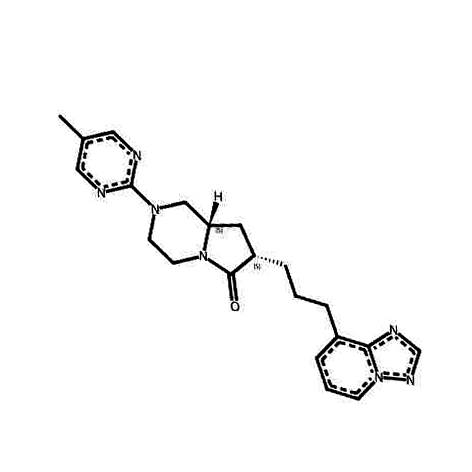 Cc1cnc(N2CCN3C(=O)[C@@H](CCCc4cccn5ncnc45)C[C@H]3C2)nc1